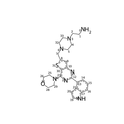 NCCN1CCN(Cc2cc3nc(-c4cccc5[nH]ccc45)nc(N4CCOCC4)c3s2)CC1